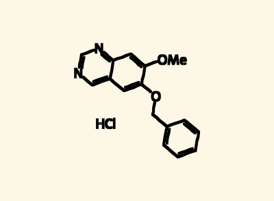 COc1cc2ncncc2cc1OCc1ccccc1.Cl